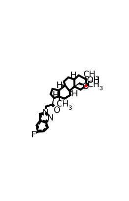 COC[C@]12CC[C@@](C)(O)C[C@@H]1CC[C@H]1[C@@H]3CC[C@H](C(=O)Cn4cc5cc(F)ccc5n4)[C@@]3(C)CC[C@@H]12